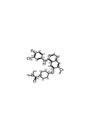 COc1cc2ncnc(Nc3ccc(F)c(Cl)c3)c2cc1OC1CCN(C(=O)N(C)C)CC1